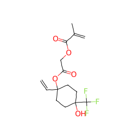 C=CC1(OC(=O)COC(=O)C(=C)C)CCC(O)(C(F)(F)F)CC1